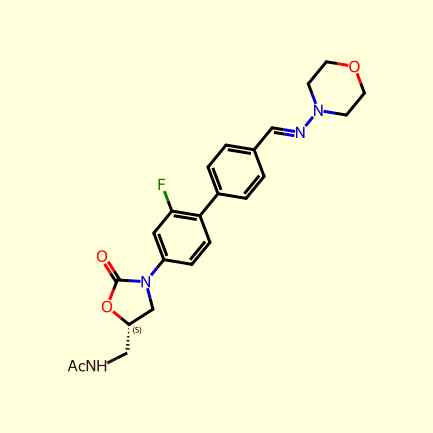 CC(=O)NC[C@H]1CN(c2ccc(-c3ccc(C=NN4CCOCC4)cc3)c(F)c2)C(=O)O1